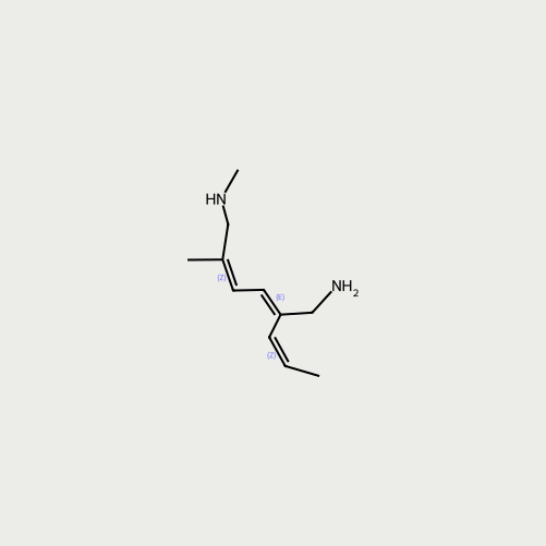 C\C=C/C(=C\C=C(\C)CNC)CN